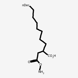 CCCCCCCCCCCCCCCCCC(CC(=O)ON)C(=O)O